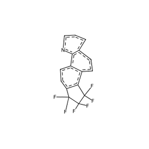 FC1(F)c2ccc3c(ccc4cccnc43)c2C(F)(F)C1(F)F